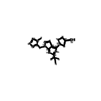 Cn1nnnc1Cn1ncc2c(N3CCC(O)C3)nc(C(C)(C)C)nc21